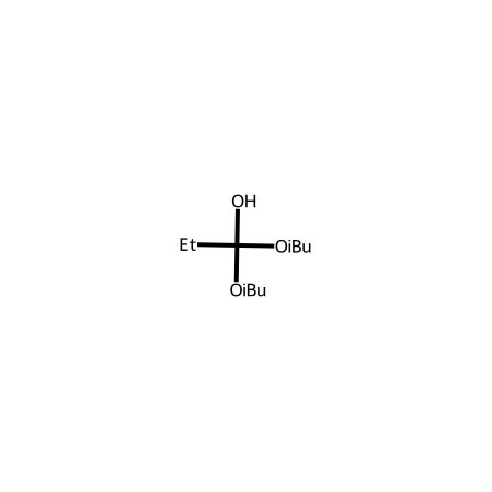 CCC(O)(OCC(C)C)OCC(C)C